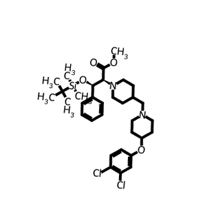 COC(=O)[C@H]([C@H](O[Si](C)(C)C(C)(C)C)c1ccccc1)N1CCC(CN2CCC(Oc3ccc(Cl)c(Cl)c3)CC2)CC1